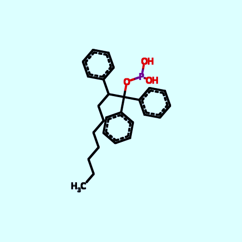 CCCCCCCC(c1ccccc1)C(OP(O)O)(c1ccccc1)c1ccccc1